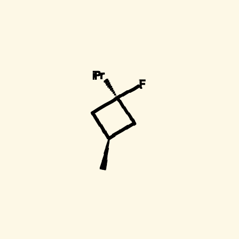 CC(C)[C@]1(F)C[C@@H](C)C1